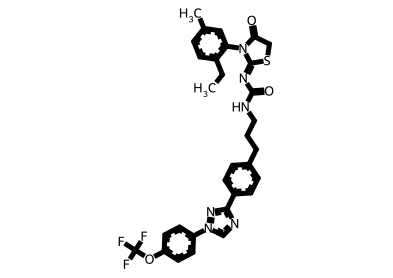 CCc1ccc(C)cc1N1C(=O)CS/C1=N\C(=O)NCCCc1ccc(-c2ncn(-c3ccc(OC(F)(F)F)cc3)n2)cc1